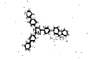 CC1(C)c2ccccc2-c2ccc(-c3ccc(-c4cc(-c5ccc(-c6cccnc6)cc5)nc(-c5ccc(-c6ccccc6)cc5)n4)cc3)cc21